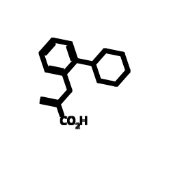 C=C(Cc1ccccc1C1CCCCC1)C(=O)O